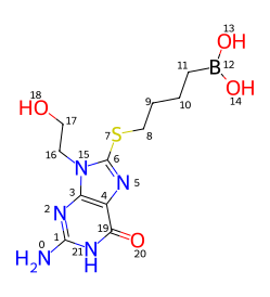 Nc1nc2c(nc(SCCCCB(O)O)n2CCO)c(=O)[nH]1